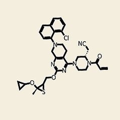 C=CC(=O)N1CCN(c2nc(OCC3S[C@]3(C)OC3CC3)nc3c2CCN(c2cccc4cccc(Cl)c24)C3)C[C@@H]1CC#N